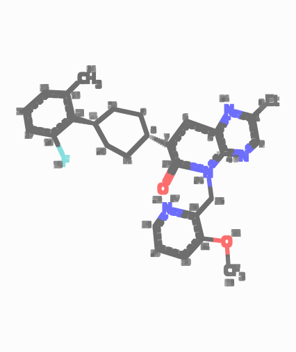 CCc1cnc2c(cc([C@H]3CC[C@H](c4c(C)cccc4F)CC3)c(=O)n2Cc2ncccc2OC(F)(F)F)n1